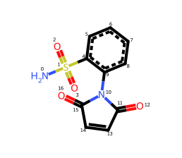 NS(=O)(=O)c1ccccc1N1C(=O)C=CC1=O